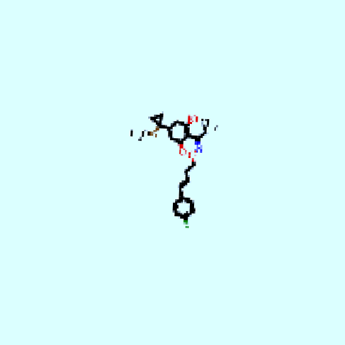 CC/C(=N/OCC/C=C/c1ccc(F)cc1)C1=C(O)CC(C2(SC)CC2)CC1=O